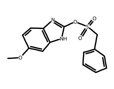 COc1ccc2nc(OS(=O)(=O)Cc3ccccc3)[nH]c2c1